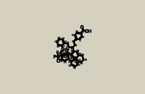 O=C(O)c1ccc(CCN(CCc2ccccc2OCC2(C(F)(F)F)C=CC(c3ccccc3)=CC2Cl)c2cc3c(nc2C(=O)O)CCCC3)cc1